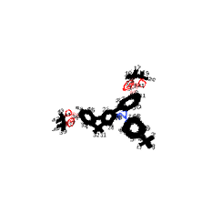 CC(C)(C)c1ccc(-n2c3ccc(B4OC(C)(C)C(C)(C)O4)cc3c3cc4c(cc32)C(C)(C)c2cc(B3OC(C)(C)C(C)(C)O3)ccc2-4)cc1